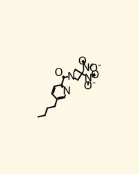 CCCCc1ccc(C(=O)N2CC([N+](=O)[O-])([N+](=O)[O-])C2)nc1